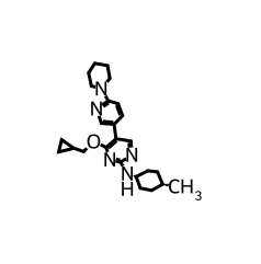 C[C@H]1CC[C@H](Nc2ncc(-c3ccc(N4CCCCC4)nc3)c(OCC3CC3)n2)CC1